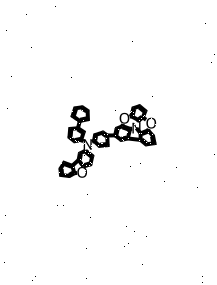 c1ccc(-c2cccc(N(c3ccc(-c4cc5c6c(c4)c4cccc7c4n6-c4c(cccc4O5)O7)cc3)c3ccc4oc5ccccc5c4c3)c2)cc1